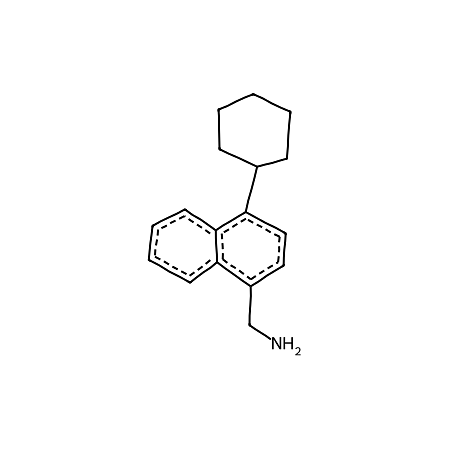 NCc1ccc(C2CCCCC2)c2ccccc12